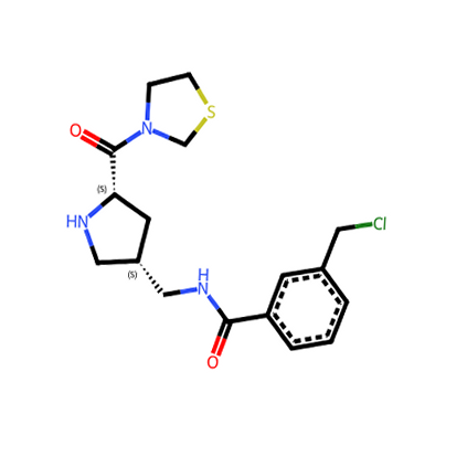 O=C(NC[C@@H]1CN[C@H](C(=O)N2CCSC2)C1)c1cccc(CCl)c1